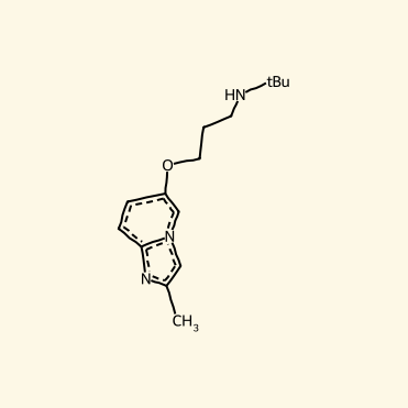 Cc1cn2cc(OCCCNC(C)(C)C)ccc2n1